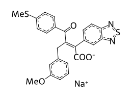 COc1cccc(C/C(C(=O)c2ccc(SC)cc2)=C(\C(=O)[O-])c2ccc3nsnc3c2)c1.[Na+]